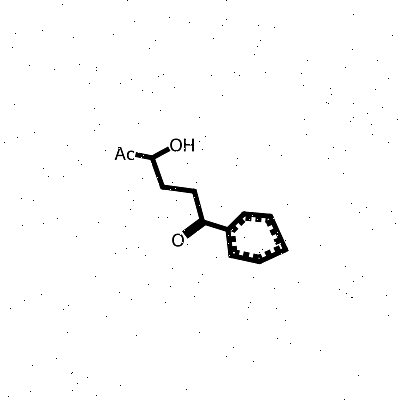 CC(=O)C(O)CCC(=O)c1ccccc1